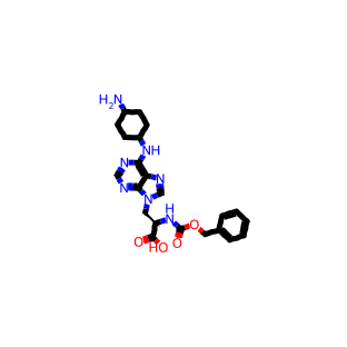 NC1CCC(Nc2ncnc3c2ncn3C[C@@H](NC(=O)OCc2ccccc2)C(=O)O)CC1